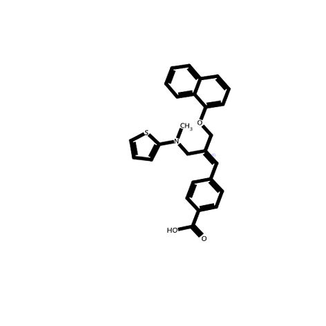 CN(C/C(=C\c1ccc(C(=O)O)cc1)COc1cccc2ccccc12)c1cccs1